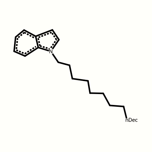 CCCCCCCCCCCCCCCCCCn1ccc2ccccc21